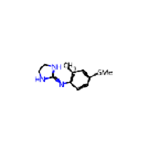 CSc1ccc(N=C2NCCN2)c(C)c1